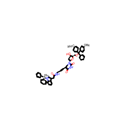 COc1ccc(C(OC[C@H]2O[C@@H](n3cc(C#CCNC(=O)Cc4cn([Si](c5ccccc5)(c5ccccc5)C(C)(C)C)c5ccccc45)c(=O)[nH]c3=O)CC2O)(c2ccccc2)c2ccc(OC)cc2)cc1